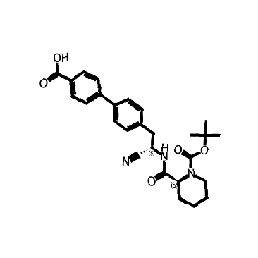 CC(C)(C)OC(=O)N1CCCC[C@H]1C(=O)N[C@H](C#N)Cc1ccc(-c2ccc(C(=O)O)cc2)cc1